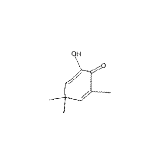 CC1=CC(C)(C)C=C(O)C1=O